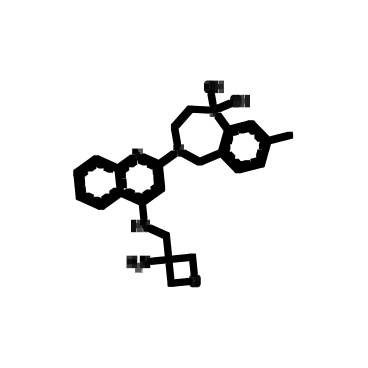 Cc1ccc2c(c1)S(O)(O)CCN(c1cc(NCC3(N)COC3)c3ccccc3n1)C2